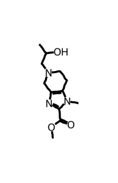 COC(=O)c1nc2c(n1C)CCN(CC(C)O)C2